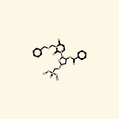 CCOP(=O)(CO[C@@H]1CC(OC(=O)c2ccccc2)[C@H](n2ccc(=O)n(COCc3ccccc3)c2=O)O1)OCC